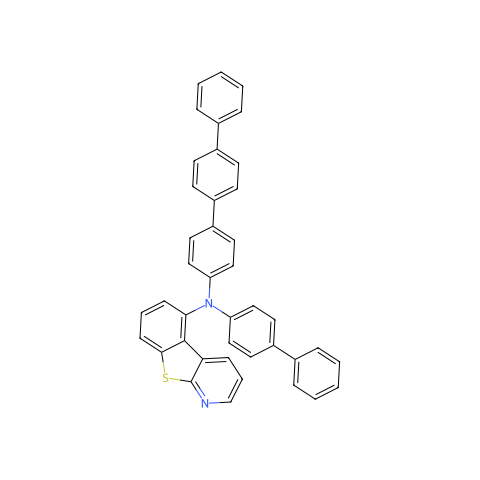 c1ccc(-c2ccc(-c3ccc(N(c4ccc(-c5ccccc5)cc4)c4cccc5sc6ncccc6c45)cc3)cc2)cc1